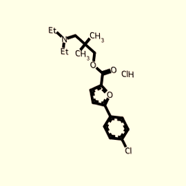 CCN(CC)CC(C)(C)COC(=O)c1ccc(-c2ccc(Cl)cc2)o1.Cl